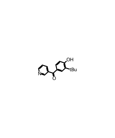 CC(C)(C)c1cc(C(=O)c2cccnc2)ccc1O